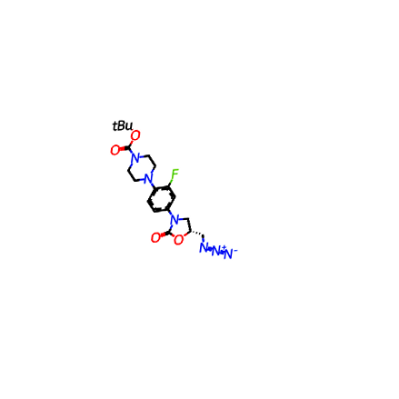 CC(C)(C)OC(=O)N1CCN(c2ccc(N3C[C@H](CN=[N+]=[N-])OC3=O)cc2F)CC1